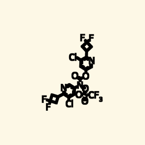 O=C(Oc1cnc(C2CC(F)(F)C2)c(Cl)c1)N(OS(=O)(=O)C(F)(F)F)c1cnc(C2CC(F)(F)C2)c(Cl)c1